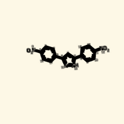 O=[N+]([O-])c1ccc(-c2cc(-c3ccc([N+](=O)[O-])cc3)[nH]n2)cc1